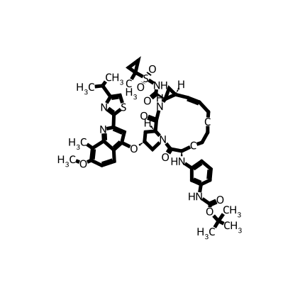 COc1ccc2c(O[C@@H]3C[C@H]4C(=O)N[C@]5(C(=O)NS(=O)(=O)C6(C)CC6)C[C@H]5/C=C\CCCCC[C@H](Nc5cccc(NC(=O)OC(C)(C)C)c5)C(=O)N4C3)cc(-c3nc(C(C)C)cs3)nc2c1C